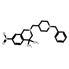 CC1(C)CN(CC2CCN(Cc3ccccc3)CC2)Cc2cc([N+](=O)[O-])ccc21